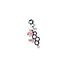 CC12CCC(=O)C=C1CCC1C2[C@@H](O)CC2(C)C1CC[C@]2(O)C(=O)Nc1nc2cccnc2s1